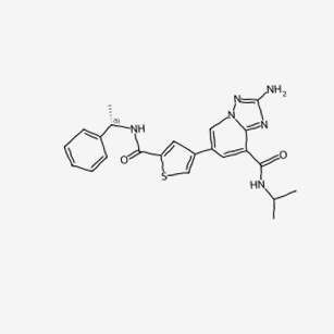 CC(C)NC(=O)c1cc(-c2csc(C(=O)N[C@@H](C)c3ccccc3)c2)cn2nc(N)nc12